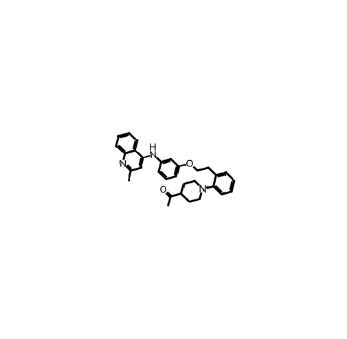 CC(=O)C1CCN(c2ccccc2CCOc2cccc(Nc3cc(C)nc4ccccc34)c2)CC1